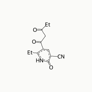 CCC(=O)CC(=O)c1cc(C#N)c(=O)[nH]c1CC